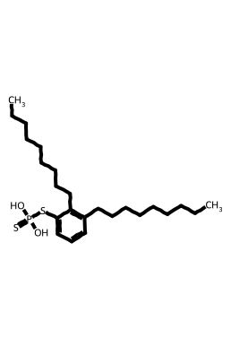 CCCCCCCCCc1cccc(SP(O)(O)=S)c1CCCCCCCCC